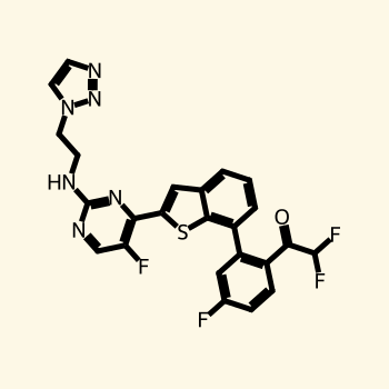 O=C(c1ccc(F)cc1-c1cccc2cc(-c3nc(NCCn4ccnn4)ncc3F)sc12)C(F)F